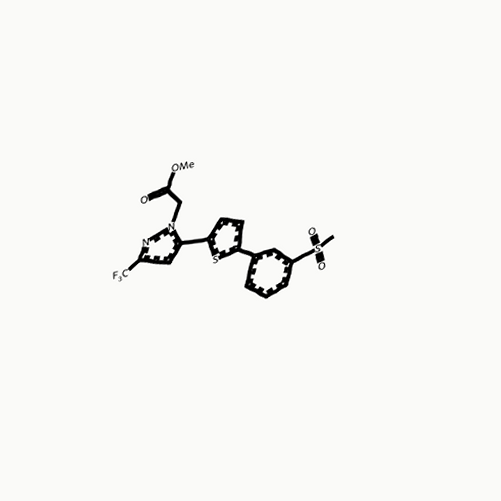 COC(=O)Cn1nc(C(F)(F)F)cc1-c1ccc(-c2cccc(S(C)(=O)=O)c2)s1